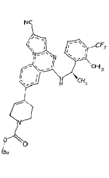 Cc1c([C@@H](C)Nc2nc3cc(C#N)cn3c3ccc(C4=CCN(C(=O)OC(C)(C)C)CC4)cc23)cccc1C(F)(F)F